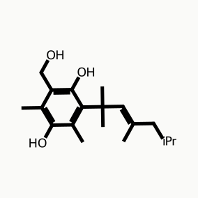 C/C(=C\C(C)(C)c1c(C)c(O)c(C)c(CO)c1O)CC(C)C